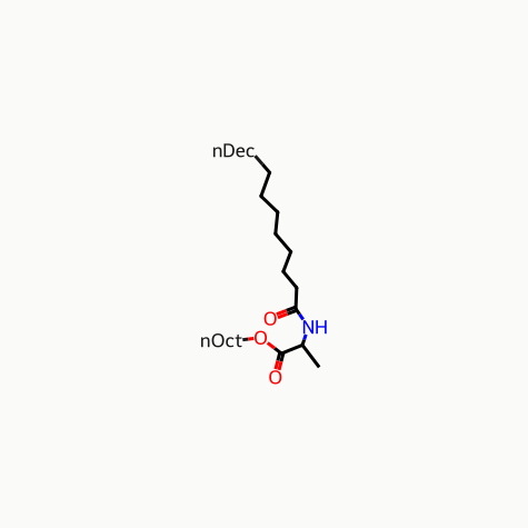 CCCCCCCCCCCCCCCCCC(=O)NC(C)C(=O)OCCCCCCCC